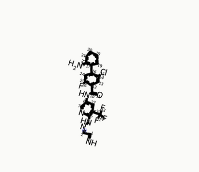 N=C/C=N\Nc1ncc(NC(=O)c2cc(Cl)c(-c3ccccc3N)cc2F)cc1C(F)(F)F